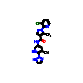 N#CC1=C(N2N=CCN2)NCC(NC(=O)c2cnn(-c3ncccc3Cl)c2C(F)(F)F)=C1